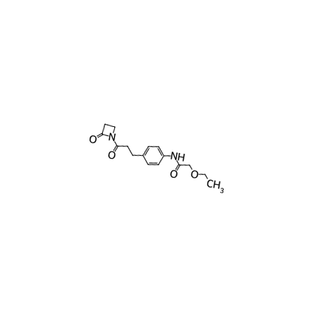 CCOCC(=O)Nc1ccc(CCC(=O)N2CCC2=O)cc1